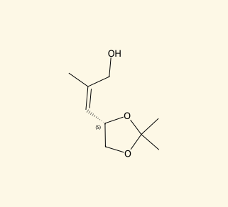 CC(=C[C@H]1COC(C)(C)O1)CO